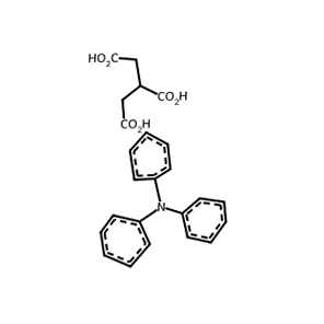 O=C(O)CC(CC(=O)O)C(=O)O.c1ccc(N(c2ccccc2)c2ccccc2)cc1